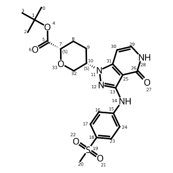 CC(C)(C)OC(=O)[C@@H]1CC[C@H](n2nc(Nc3ccc(S(C)(=O)=O)cc3)c3c(=O)[nH]ccc32)CO1